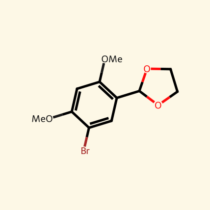 COc1cc(OC)c(C2OCCO2)cc1Br